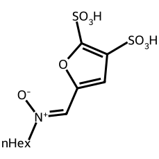 CCCCCC[N+]([O-])=Cc1cc(S(=O)(=O)O)c(S(=O)(=O)O)o1